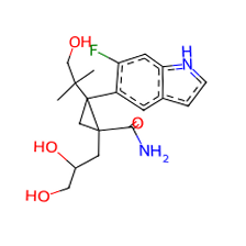 CC(C)(CO)C1(c2cc3cc[nH]c3cc2F)CC1(CC(O)CO)C(N)=O